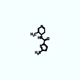 Bc1ccc(C(=O)NC2CC=NC=C2C)s1